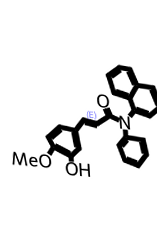 COc1ccc(/C=C/C(=O)N(c2ccccc2)c2cccc3ccccc23)cc1O